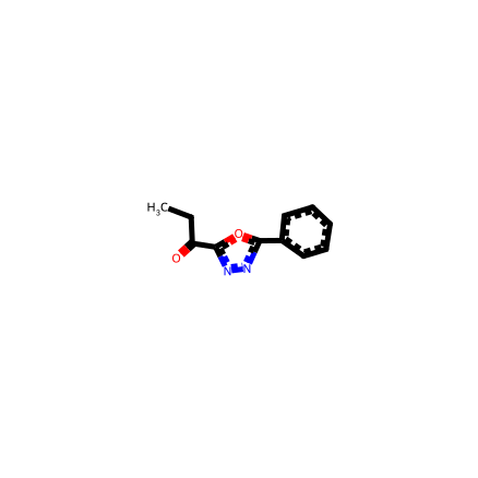 CCC(=O)c1nnc(-c2ccccc2)o1